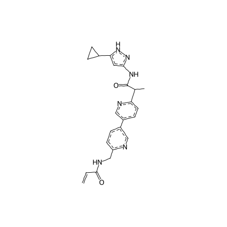 C=CC(=O)NCc1ccc(-c2ccc(C(C)C(=O)Nc3cc(C4CC4)[nH]n3)nc2)cn1